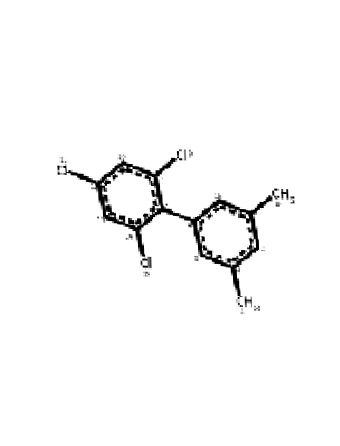 Cc1cc(C)cc(-c2c(Cl)cc(Cl)cc2Cl)c1